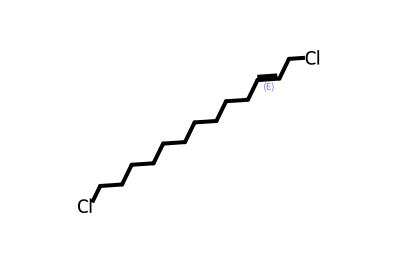 ClC/C=C/CCCCCCCCCCCl